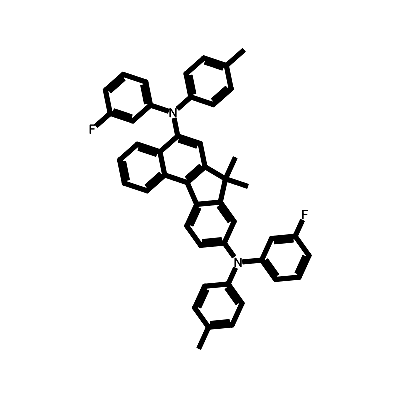 Cc1ccc(N(c2cccc(F)c2)c2ccc3c(c2)C(C)(C)c2cc(N(c4ccc(C)cc4)c4cccc(F)c4)c4ccccc4c2-3)cc1